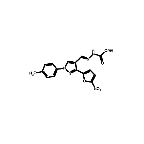 COC(=O)N/N=C/c1cn(-c2ccc(C)cc2)nc1-c1ccc([N+](=O)[O-])o1